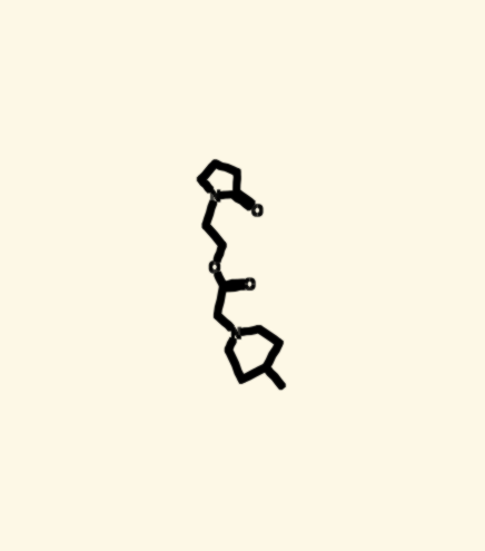 CC1CCN(CC(=O)OCCN2CCCC2=O)CC1